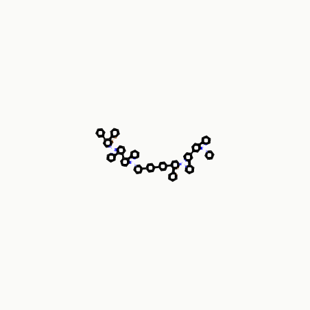 c1ccc(-c2ccc(-n3c4ccccc4c4c(-c5cccc6c5c5ccccc5n6-c5cccc(-c6ccc(-c7ccc(-c8ccc(-n9c%10ccccc%10c%10cc(-c%11ccc%12c%13ccccc%13n(-c%13ccccc%13)c%12c%11)ccc%109)c9sc%10ccccc%10c89)cc7)cc6)c5)cccc43)c3sc4ccccc4c23)cc1